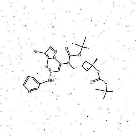 CC(C)(C)OC(=O)O[C@]1(C)C[C@H](CN(C(=O)OC(C)(C)C)c2cc(Nc3cccnc3)nc3c(Br)cnn23)C1